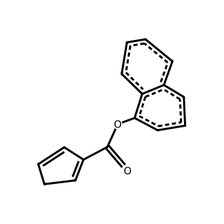 O=C(Oc1cccc2ccccc12)C1=CCC=C1